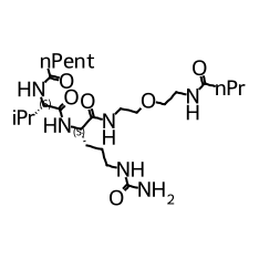 CCCCCC(=O)N[C@H](C(=O)N[C@@H](CCCNC(N)=O)C(=O)NCCOCCNC(=O)CCC)C(C)C